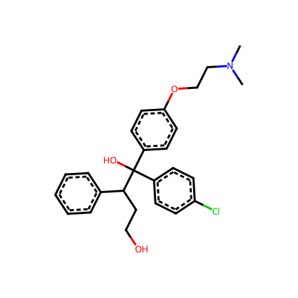 CN(C)CCOc1ccc(C(O)(c2ccc(Cl)cc2)C(CCO)c2ccccc2)cc1